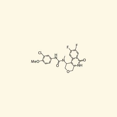 COc1ccc(NC(=O)N(C)C2COCc3[nH]c(=O)c4cc(F)c(F)cc4c32)cc1Cl